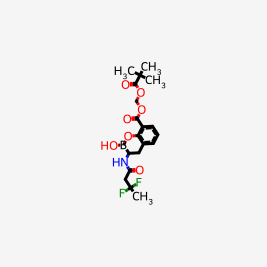 CC(F)(F)CC(=O)NC1Cc2cccc(C(=O)OCOC(=O)C(C)(C)C)c2OB1O